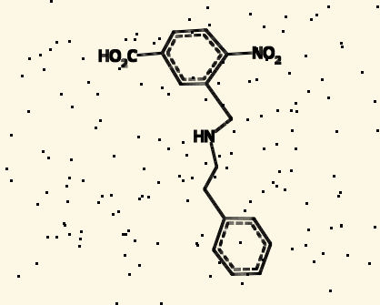 O=C(O)c1ccc([N+](=O)[O-])c(CNCCc2ccccc2)c1